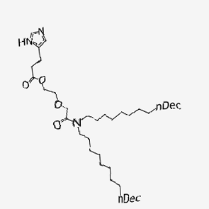 CCCCCCCCCCCCCCCCCCN(CCCCCCCCCCCCCCCCCC)C(=O)COCCOC(=O)CCc1cnc[nH]1